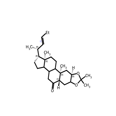 CC/C=C/[C@@H](C)[C@H]1CCC2C3CC(=O)[C@H]4CC5OC(C)(C)O[C@@H]5C[C@]4(C)C3CC[C@@]21C